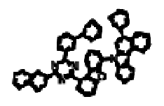 c1ccc(-c2cccc(-c3nc(-c4ccc5ccccc5c4)nc(-c4cccc5oc6c(-n7c8ccccc8c8c9ccccc9c(-c9ccccc9)cc87)cccc6c45)n3)c2)cc1